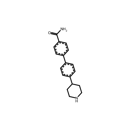 NC(=O)c1ccc(-c2ccc(C3CCNCC3)cc2)cc1